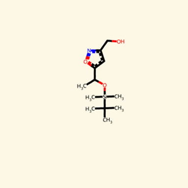 CC(O[Si](C)(C)C(C)(C)C)c1cc(CO)no1